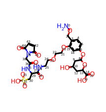 NOCc1ccc(OC2CC(O)CC(C(=O)O)O2)cc1OCCOCCNC(=O)C(CS(=O)(=O)O)NC(=O)CN1C(=O)C=CC1=O